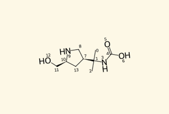 CC(C)(NC(=O)O)[C@@H]1CN[C@H](CO)C1